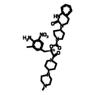 Cc1cc(C[C@@H](OC(=O)N2CCC(N3CCc4ccccc4NC3=O)CC2)C(=O)N2CCC(N3CCN(C)CC3)CC2)cc([N+](=O)[O-])c1N